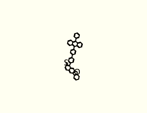 C1=Cc2c(oc3cc4c(ccc5sc6cc(-c7ccc(-c8c9ccccc9c(-c9ccccc9)c9ccccc89)cc7)ccc6c54)cc23)CC1